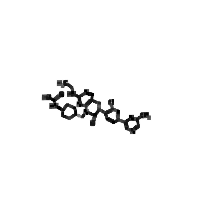 CCNc1ncc2cc(-c3ccc(-c4cncc(C)n4)cc3Cl)c(=O)n(C[C@H]3CC[C@H](NC(=O)O)CC3)c2n1